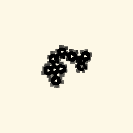 C1=CC2C(N=C1)c1ccccc1N2c1ccc(-c2cccc(-c3cccc(-c4c5ccccc5c(-c5ccccc5)c5ccccc45)n3)n2)cc1